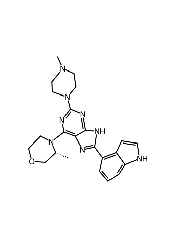 C[C@@H]1COCCN1c1nc(N2CCN(C)CC2)nc2[nH]c(-c3cccc4[nH]ccc34)nc12